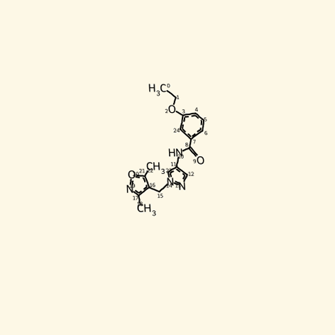 CCOc1cccc(C(=O)Nc2cnn(Cc3c(C)noc3C)c2)c1